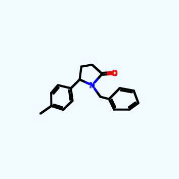 Cc1ccc(C2CCC(=O)N2Cc2ccccc2)cc1